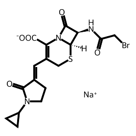 O=C(CBr)N[C@@H]1C(=O)N2C(C(=O)[O-])=C(/C=C3\CCN(C4CC4)C3=O)CS[C@H]12.[Na+]